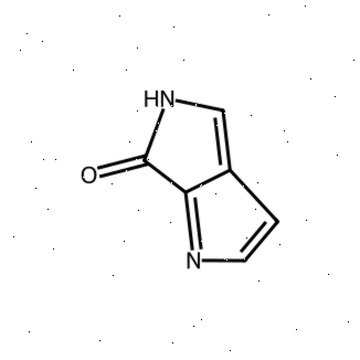 O=C1NC=C2C=CN=C12